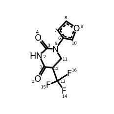 O=C1NC(=O)N(c2ccoc2)CC1C(F)(F)F